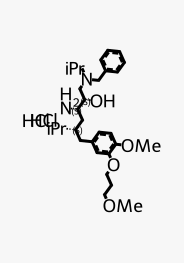 COCCCOc1cc(C[C@@H](C[C@H](N)[C@@H](O)CN(Cc2ccccc2)C(C)C)C(C)C)ccc1OC.Cl.Cl